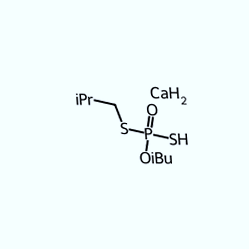 CC(C)COP(=O)(S)SCC(C)C.[CaH2]